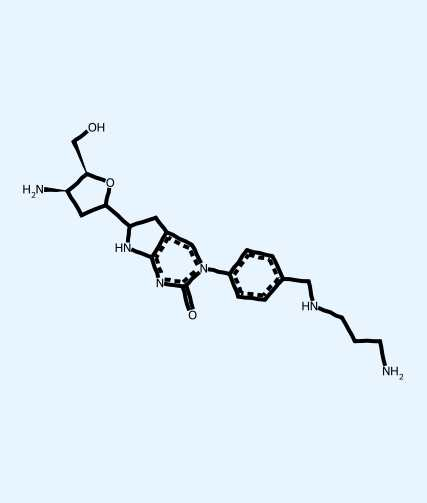 NCCCNCc1ccc(-n2cc3c(nc2=O)NC(C2C[C@@H](N)[C@@H](CO)O2)C3)cc1